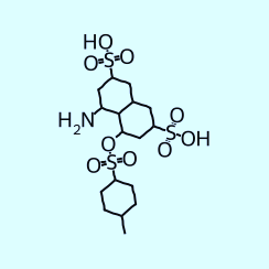 CC1CCC(S(=O)(=O)OC2CC(S(=O)(=O)O)CC3CC(S(=O)(=O)O)CC(N)C32)CC1